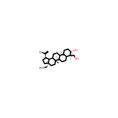 C=C(CC)[C@@H]1CC[C@]2(COC(C)=O)CC[C@]3(C)C(CCC4[C@@]5(C)CC[C@H](O)[C@@](C)(CO)C5CC[C@]43C)C12